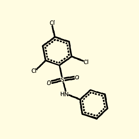 O=S(=O)(Nc1ccccc1)c1c(Cl)cc(Cl)cc1Cl